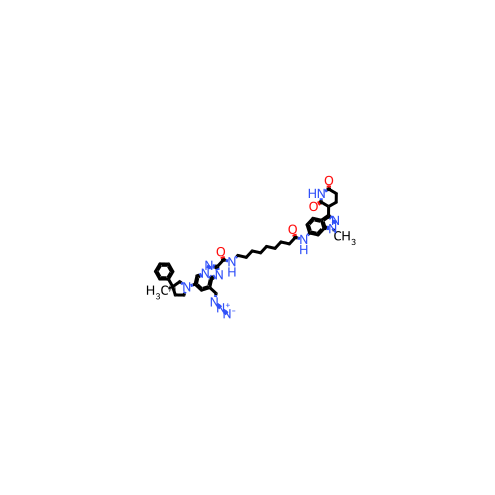 Cn1nc(C2CCC(=O)NC2=O)c2ccc(NC(=O)CCCCCCCCNC(=O)c3nc4c(CN=[N+]=[N-])cc(N5CC[C@](C)(c6ccccc6)C5)cn4n3)cc21